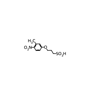 Cc1cc(OCCCS(=O)(=O)O)ccc1[N+](=O)[O-]